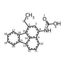 CCc1cc(NC(=O)O)c2cccc3c2c1-c1ccccc1-3